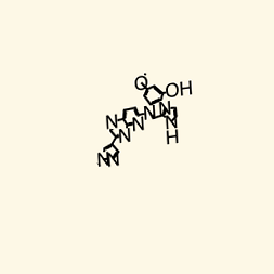 COc1cc(O)cc(N(Cc2ncc[nH]2)c2ccc3ncc(-c4cnn(C)c4)nc3n2)c1